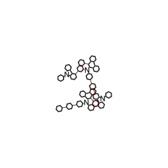 c1ccc(-c2ccc(-c3ccc(N(c4cccc(-c5cccc6c5c5ccc(-c7ccc(-c8ccc(N(c9cccc(-c%10cccc%11c%10c%10ccccc%10n%11-c%10ccccc%10)c9)c9c(-c%10ccccc%10)c%10ccccc%10c%10ccccc9%10)cc8)cc7)cc5n6-c5ccccc5)c4)c4c(-c5ccccc5)c5ccccc5c5ccccc45)cc3)cc2)cc1